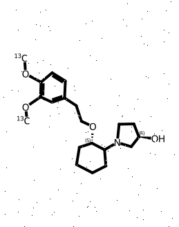 [13CH3]Oc1ccc(CCO[C@H]2CCCCC2N2CC[C@@H](O)C2)cc1O[13CH3]